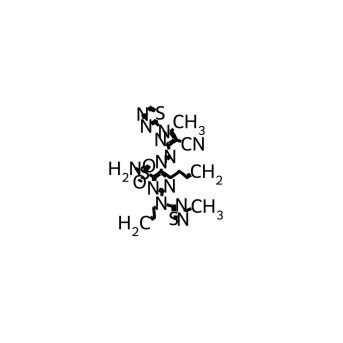 C=CCc1nc(N(CC=C)c2nc(C)ns2)nc(S(N)(=O)=O)c1N=Nc1nn(-c2nncs2)c(C)c1C#N